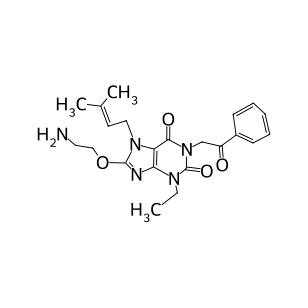 CCn1c(=O)n(CC(=O)c2ccccc2)c(=O)c2c1nc(OCCN)n2CC=C(C)C